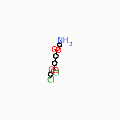 Nc1ccc(OC(=O)c2ccc(-c3ccc(C(=O)Oc4ccc(Cl)cc4Cl)cc3)cc2)cc1